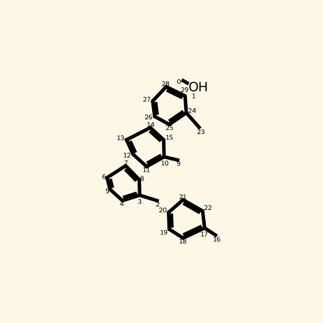 CO.Cc1ccccc1.Cc1ccccc1.Cc1ccccc1.Cc1ccccc1